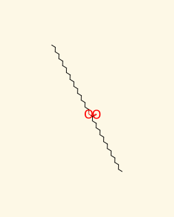 CCCCCCCCCCCCCCCCCCCCOC(=O)CCCCCCCCCCCCCCCC